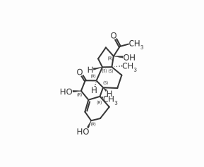 CC(=O)[C@@]1(O)CC[C@H]2[C@@H]3C(=O)[C@H](O)C4=C[C@H](O)CC[C@]4(C)[C@H]3CC[C@@]21C